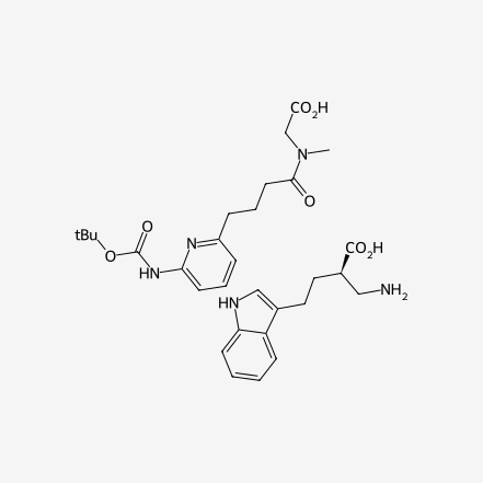 CN(CC(=O)O)C(=O)CCCc1cccc(NC(=O)OC(C)(C)C)n1.NC[C@@H](CCc1c[nH]c2ccccc12)C(=O)O